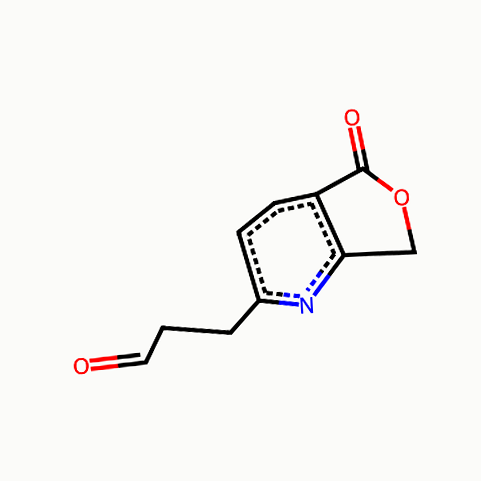 O=CCCc1ccc2c(n1)COC2=O